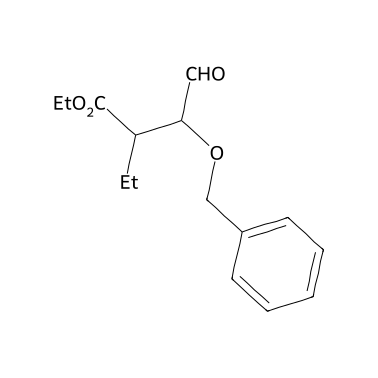 CCOC(=O)C(CC)C(C=O)OCc1ccccc1